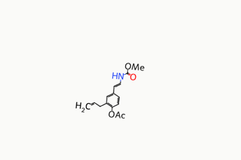 C=CCc1cc(C=CNC(=O)OC)ccc1OC(C)=O